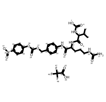 CC(C)C(NC(=O)O)C(=O)NC(CCCNC(N)=O)C(=O)Nc1ccc(COC(=O)Oc2ccc([N+](=O)[O-])cc2)cc1.O=C(O)C(F)(F)F